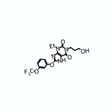 CCn1c(=O)n(CCCO)c(=O)c2[nH]c(Oc3cccc(OC(F)(F)F)c3)nc21